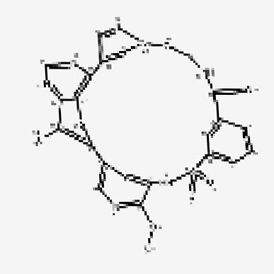 COc1ncc2cc1NS(=O)(=O)c1cccc(c1)C(=O)NCCn1cc(cn1)-c1ncnc3c(C)c-2sc13